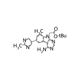 Cc1ncc(-c2cc(C)c3c(c2)c2c(N)ncnc2n3CC(=O)OC(C)(C)C)cn1